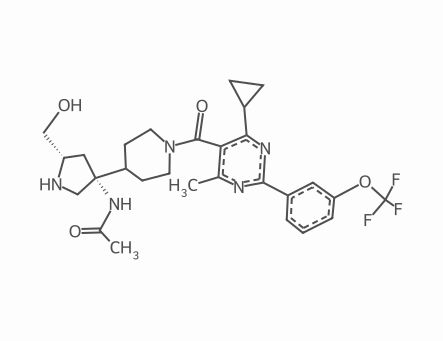 CC(=O)N[C@]1(C2CCN(C(=O)c3c(C)nc(-c4cccc(OC(F)(F)F)c4)nc3C3CC3)CC2)CN[C@H](CO)C1